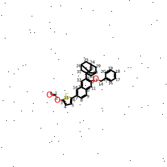 O=COc1ccc(-c2ccc3cc(OCc4ccccc4)c(C45CC6CC(CC(C6)C4)C5)cc3c2)s1